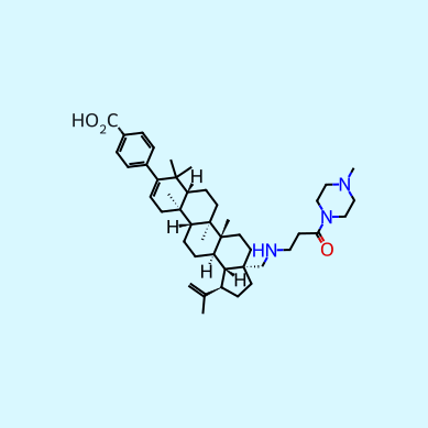 C=C(C)[C@@H]1CC[C@]2(CNCCC(=O)N3CCN(C)CC3)CC[C@]3(C)[C@H](CC[C@@H]4[C@@]5(C)CC=C(c6ccc(C(=O)O)cc6)C(C)(C)[C@@H]5CC[C@]43C)[C@@H]12